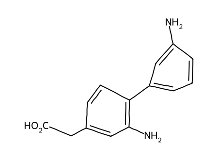 Nc1cccc(-c2ccc(CC(=O)O)cc2N)c1